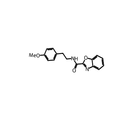 COc1ccc(CCNC(=O)c2nc3ccccc3o2)cc1